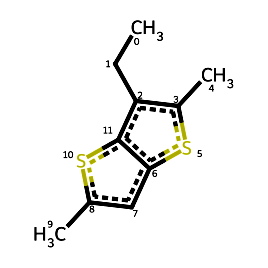 CCc1c(C)sc2cc(C)sc12